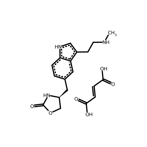 CNCCc1c[nH]c2ccc(C[C@H]3COC(=O)N3)cc12.O=C(O)C=CC(=O)O